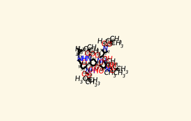 CN(C(=O)OC(C)(C)C)[C@@H]1[C@@H](O)[C@@H](O[C@H]2[C@H](NC(=O)C(O)C3CN(C(=O)OC(C)(C)C)C3)C[C@H](NC(=O)OC(C)(C)C)C([C@H]3OC(CNCC4CC4)=CC[C@H]3NC(=O)OC(C)(C)C)[C@@H]2O)OC[C@]1(C)O